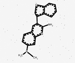 CN(C)c1ccc2cc(-c3coc4ccccc34)c(N)nc2c1